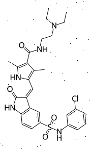 CCN(CC)CCNC(=O)c1c(C)[nH]c(C=C2C(=O)Nc3ccc(S(=O)(=O)Nc4cccc(Cl)c4)cc32)c1C